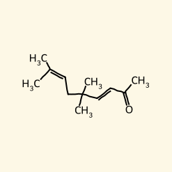 CC(=O)C=CC(C)(C)CC=C(C)C